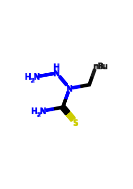 CCCCCN(NN)C(N)=S